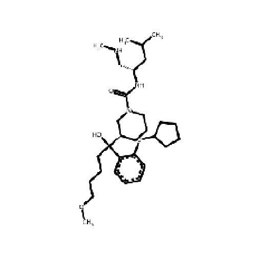 CNC[C@H](CC(C)C)NC(=O)N1CCC[C@@H](C(O)(CCCCOC)c2ccccc2OC2CCCC2)C1